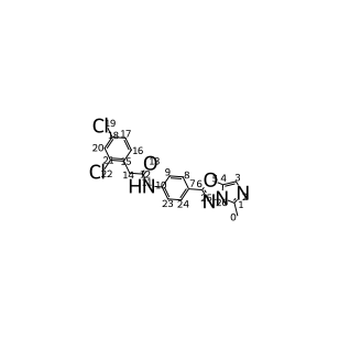 Cc1ncc2oc(-c3ccc(NC(=O)Cc4ccc(Cl)cc4Cl)cc3)nn12